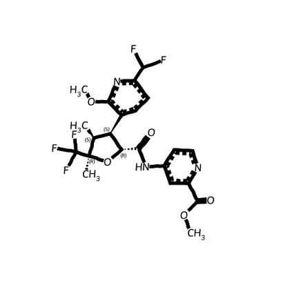 COC(=O)c1cc(NC(=O)[C@@H]2O[C@@](C)(C(F)(F)F)[C@@H](C)[C@H]2c2ccc(C(F)F)nc2OC)ccn1